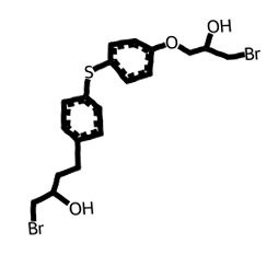 OC(CBr)CCc1ccc(Sc2ccc(OCC(O)CBr)cc2)cc1